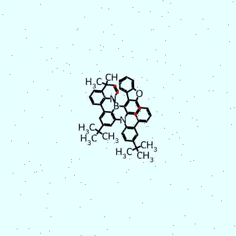 CC(C)(C)c1ccc(N2c3cc(C(C)(C)C)cc4c3B(c3c2ccc2oc5ccccc5c32)N2c3ccccc3C(C)(C)c3cccc-4c32)c(-c2ccccc2)c1